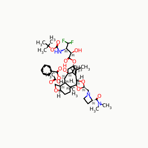 CC(=O)O[C@@]12CO[C@@H]1CC[C@@]1(C)[C@@H]3O[C@H](CN4CC[C@H]4C(=O)N(C)C)O[C@@H]3C3=C(C)[C@@H](OC(=O)[C@H](O)[C@@H](NC(=O)OC(C)(C)C)C(F)F)C[C@@](O)([C@@H](OC(=O)c4ccccc4)[C@@H]12)C3(C)C